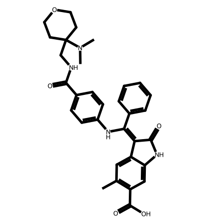 Cc1cc2c(cc1C(=O)O)NC(=O)C2=C(Nc1ccc(C(=O)NCC2(N(C)C)CCOCC2)cc1)c1ccccc1